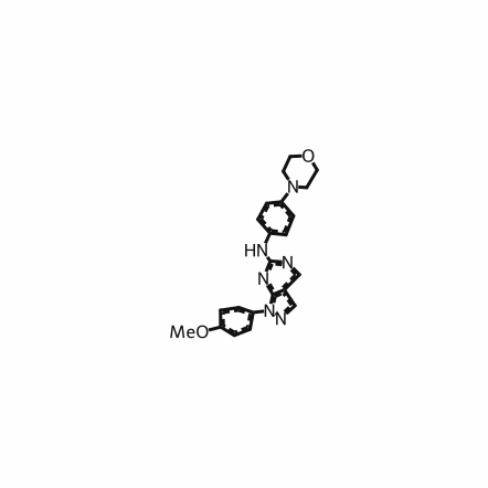 COc1ccc(-n2ncc3cnc(Nc4ccc(N5CCOCC5)cc4)nc32)cc1